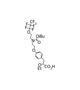 CCOC(Cc1ccc(OCCN(CCOC(F)(F)C(F)(F)C(F)(F)F)C(=O)OCC(C)C)cc1)C(=O)O